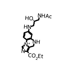 CCOC(=O)C1=C2CNc3cc(NC[C@H](O)CNC(C)=O)ccc3[N+]2C=N1